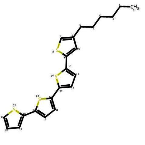 CCCCCCc1csc(-c2ccc(-c3ccc(-c4cccs4)s3)s2)c1